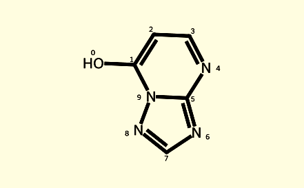 Oc1ccnc2ncnn12